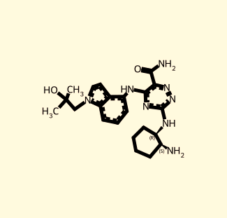 CC(C)(O)Cn1ccc2c(Nc3nc(N[C@@H]4CCCC[C@@H]4N)nnc3C(N)=O)cccc21